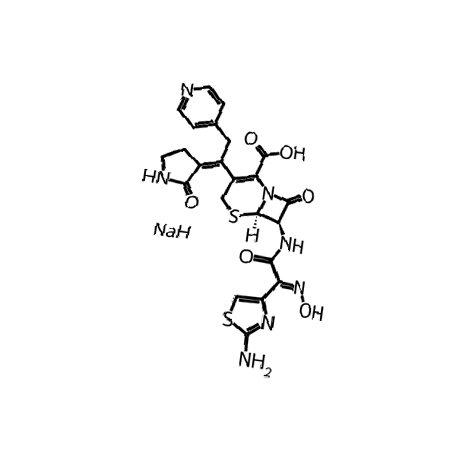 Nc1nc(C(=NO)C(=O)N[C@@H]2C(=O)N3C(C(=O)O)=C(C(Cc4ccncc4)=C4CCNC4=O)CS[C@H]23)cs1.[NaH]